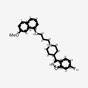 COc1ccc2cccc(OCCCN3CCC(c4noc5cc(F)ccc45)CC3)c2c1